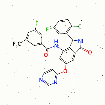 O=C(Nc1cc(Oc2ccncn2)cc2c1C(c1cc(F)ccc1Cl)NC2=O)c1cc(F)cc(C(F)(F)F)c1